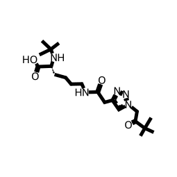 CC(C)(C)N[C@H](CCCCNC(=O)Cc1cn(CC(=O)C(C)(C)C)nn1)C(=O)O